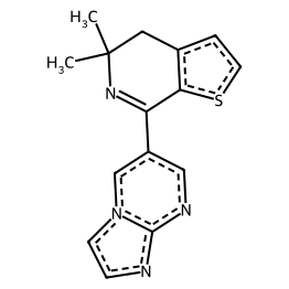 CC1(C)Cc2ccsc2C(c2cnc3nccn3c2)=N1